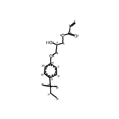 C=CC(=O)OCC(O)COc1ccc(C(C)(C)CC)cc1